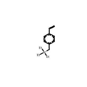 C=Cc1ccc(C[N+](CC)(CC)CC)cc1